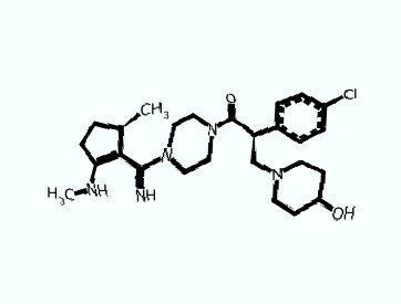 CNC1=C(C(=N)N2CCN(C(=O)[C@H](CN3CCC(O)CC3)c3ccc(Cl)cc3)CC2)[C@H](C)CC1